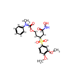 COc1ccc(S(=O)(=O)C(CCOC(=O)N(C)c2ccccc2)CC(=O)NO)cc1OC